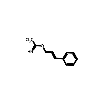 N=C(OC/C=C/c1ccccc1)C(Cl)(Cl)Cl